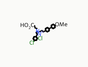 COc1ccc(-c2ccc(/C=C/c3nc(-c4ccc(Cl)cc4Cl)cn3CCCC(=O)O)cc2)cc1